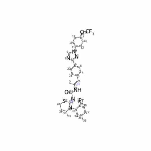 C/C(=C\c1ccc(-c2ncn(-c3ccc(OC(F)(F)F)cc3)n2)cc1)NC(=O)/N=C1\SCCC(C)N1c1cc(C)ccc1C(C)C